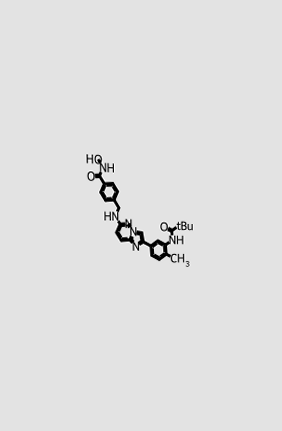 Cc1ccc(-c2cn3nc(NCc4ccc(C(=O)NO)cc4)ccc3n2)cc1NC(=O)C(C)(C)C